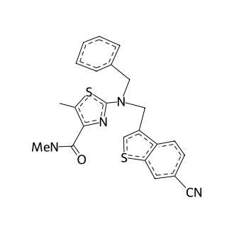 CNC(=O)c1nc(N(Cc2ccccc2)Cc2csc3cc(C#N)ccc23)sc1C